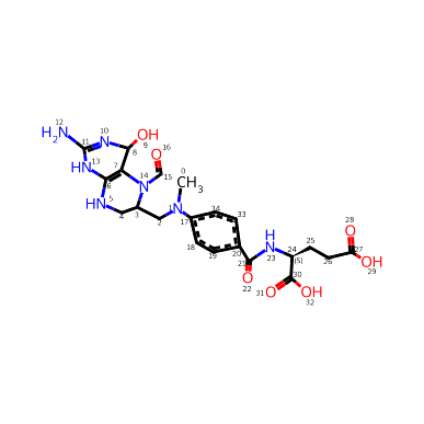 CN(CC1CNC2=C(C(O)N=C(N)N2)N1C=O)c1ccc(C(=O)N[C@@H](CCC(=O)O)C(=O)O)cc1